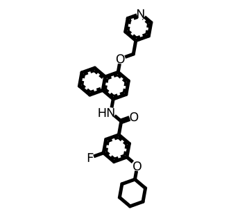 O=C(Nc1ccc(OCc2ccncc2)c2ccccc12)c1cc(F)cc(OC2CCCCC2)c1